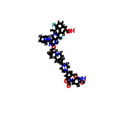 CCc1c(F)ccc2cc(O)cc(-c3ncc4c(N5CC6CCC(C5)N6)nc(OCC5(CN6CCC7(CC6)CC(N6CCN(c8ccc9c(c8)oc(=O)n9C8CCC(=O)NC8=O)CC6)C7)CC5)nc4c3F)c12